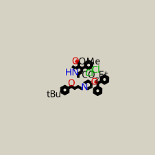 CC(C)(C)c1ccc(C(=O)CCCN2CCC(OC(c3ccccc3)c3ccccc3)CC2)cc1.CCOC(=O)C1=C(C)NC(C)=C(C(=O)OC)C1c1cccc(Cl)c1Cl